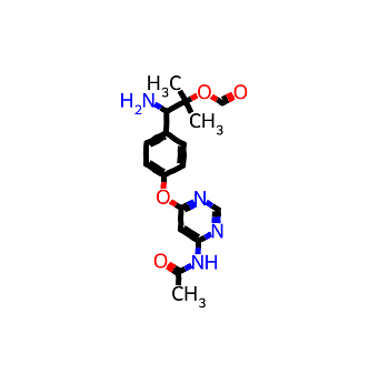 CC(=O)Nc1cc(Oc2ccc(C(N)C(C)(C)OC=O)cc2)ncn1